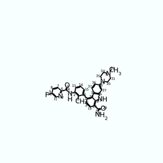 Cc1c(NC(=O)c2ccc(F)cn2)cccc1-c1ccc(C(N)=O)c2[nH]c3cc(N4CCN(C)CC4)ccc3c12